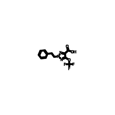 O=C(O)c1nn(CCc2ccccc2)nc1OC(F)(F)F